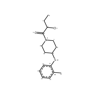 CCC(Cl)C(=O)N1CCC(Sc2ccccc2C)CC1